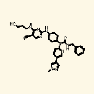 CN(CCCO)c1nc(NC2CCC(N(C(=O)NCc3ccccc3)c3ccc(-c4cnn(C)c4)cn3)CC2)ncc1C#N